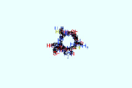 C[C@@H](O)[C@@H]1NC(=O)[C@@H](NC(=O)[C@H](CS)NC(=O)CN)Cc2cn(nn2)CCC[C@@H](C(=O)N[C@@H](Cc2ccc(O)cc2)C(=O)N[C@H](Cc2ccc(O)cc2)C(=O)O)NC(=O)[C@H](CCC(N)=O)NC(=O)[C@H](Cc2c[nH]c3ccccc23)NC(=O)[C@H](CCCNC(N)=O)NC(=O)[C@H](CS)NC(=O)[C@H](CCCNC(N)=O)NC(=O)[C@@H]2CCCN2C(=O)[C@H](CC(=O)O)NC1=O